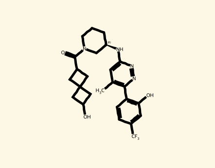 Cc1cc(N[C@@H]2CCCN(C(=O)C3CC4(CC(O)C4)C3)C2)nnc1-c1ccc(C(F)(F)F)cc1O